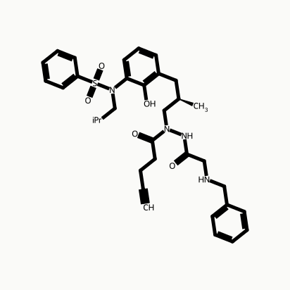 C#CCCC(=O)N(C[C@H](C)Cc1cccc(N(CC(C)C)S(=O)(=O)c2ccccc2)c1O)NC(=O)CNCc1ccccc1